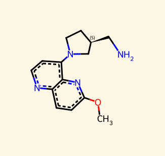 COc1ccc2nccc(N3CC[C@@H](CN)C3)c2n1